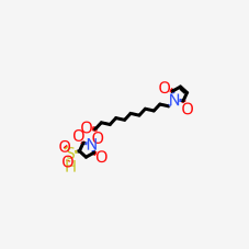 O=C(CCCCCCCCCCN1C(=O)C=CC1=O)ON1C(=O)CC([SH](=O)=O)C1=O